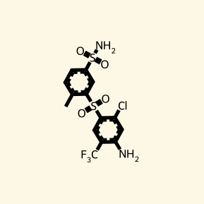 Cc1ccc(S(N)(=O)=O)cc1S(=O)(=O)c1cc(C(F)(F)F)c(N)cc1Cl